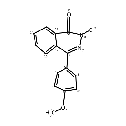 COc1ccc(-c2nn(Cl)c(=O)c3ccccc23)cc1